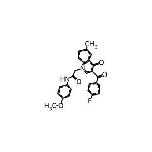 COc1ccc(NC(=O)Cn2cc(C(=O)c3ccc(F)cc3)c(=O)c3cc(C)ccc32)cc1